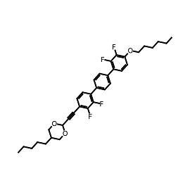 CCCCCCOc1ccc(-c2ccc(-c3ccc(C#CC4OCC(CCCCC)CO4)c(F)c3F)cc2)c(F)c1F